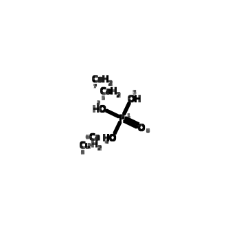 O=P(O)(O)O.[CaH2].[CaH2].[CaH2].[Cu]